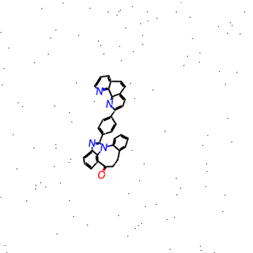 O=C1CCc2ccccc2-n2c(-c3ccc(-c4ccc5ccc6cccnc6c5n4)cc3)nc3cccc1c32